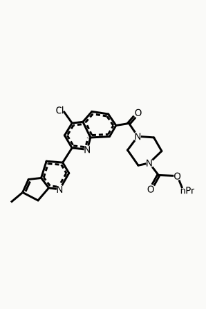 CCCOC(=O)N1CCN(C(=O)c2ccc3c(Cl)cc(-c4cnc5c(c4)C=C(C)C5)nc3c2)CC1